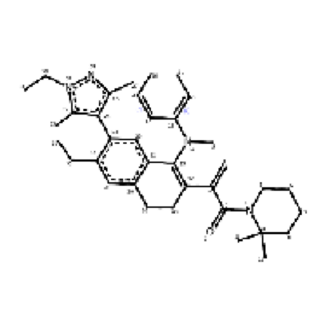 C=C(C(=O)N1CCCCC1(C)C)C1=C(N(C)C(/C=C\C)=C/C)c2cc(-c3c(C)nn(CC)c3C)c(CC)cc2CC1